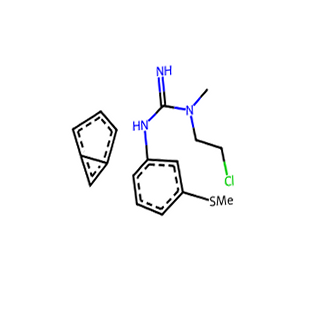 CSc1cccc(NC(=N)N(C)CCCl)c1.c1cc2cc-2c1